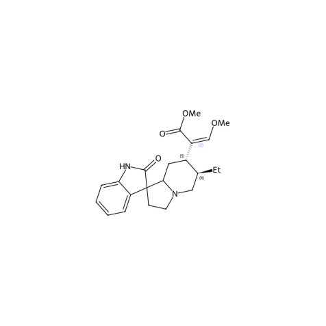 CC[C@H]1CN2CCC3(C(=O)Nc4ccccc43)C2C[C@@H]1/C(=C/OC)C(=O)OC